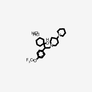 Cl.Cl.OC1(C(CN2CCC(N3CCCCC3)CC2)c2ccc(OC(F)(F)F)cc2)CCCCC1